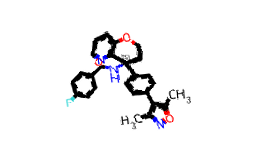 Cc1noc(C)c1-c1ccc([C@@]2(NC(=O)c3ccc(F)cc3)CCOc3cccnc32)cc1